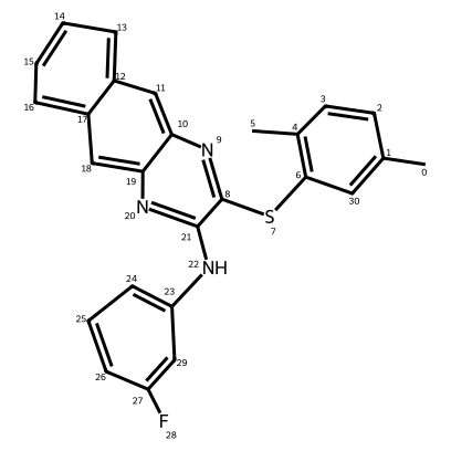 Cc1ccc(C)c(Sc2nc3cc4ccccc4cc3nc2Nc2cccc(F)c2)c1